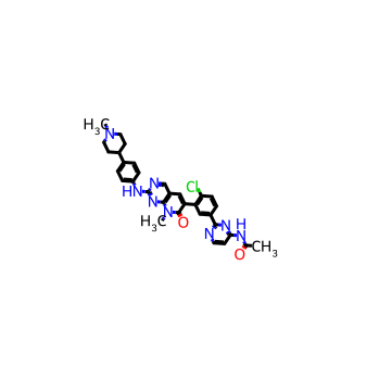 CC(=O)Nc1ccnc(-c2ccc(Cl)c(-c3cc4cnc(Nc5ccc(C6CCN(C)CC6)cc5)nc4n(C)c3=O)c2)n1